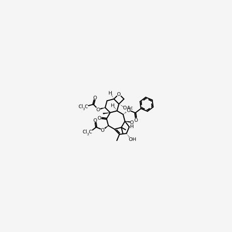 CC(=O)O[C@@]12CO[C@@H]1C[C@H](OC(=O)C(Cl)(Cl)Cl)[C@@]1(C)C(=O)[C@H](OC(=O)C(Cl)(Cl)Cl)C3=C(C)[C@@H](O)C[C@@](O)([C@@H](OC(=O)c4ccccc4)[C@H]21)C3(C)C